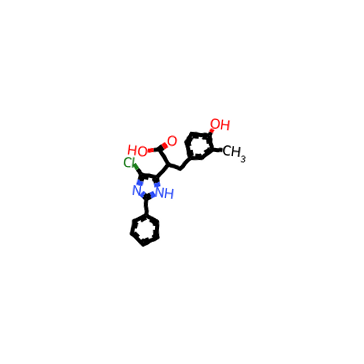 Cc1cc(CC(C(=O)O)c2[nH]c(-c3ccccc3)nc2Cl)ccc1O